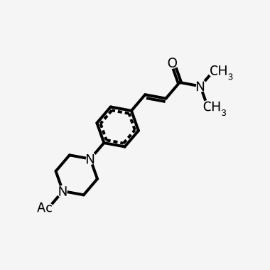 CC(=O)N1CCN(c2ccc(C=CC(=O)N(C)C)cc2)CC1